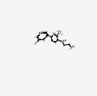 CC(C)CCNc1ccc(-c2cncc(F)c2)nc1C(F)(F)F